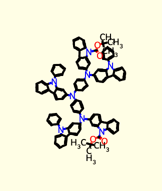 CC(C)(C)OC(=O)n1c2ccccc2c2ccc(N(c3ccc(N(c4ccc(N(c5ccc6c7ccccc7n(C(=O)OC(C)(C)C)c6c5)c5ccc6c7ccccc7n(-c7ccccc7)c6c5)cc4)c4ccc5c6ccccc6n(-c6ccccc6)c5c4)cc3)c3ccc4c5ccccc5n(-c5ccccc5)c4c3)cc21